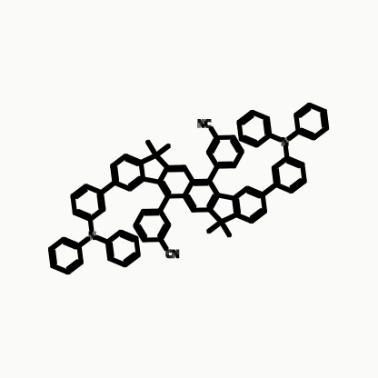 CC1(C)c2ccc(-c3cccc(N(c4ccccc4)c4ccccc4)c3)cc2-c2c1cc1c(-c3cccc(C#N)c3)c3c(cc1c2-c1cccc(C#N)c1)C(C)(C)c1ccc(-c2cccc(N(c4ccccc4)c4ccccc4)c2)cc1-3